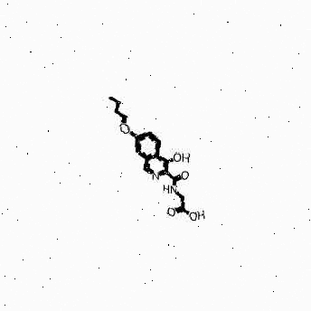 CCCCOc1ccc2c(O)c(C(=O)NCC(=O)O)ncc2c1